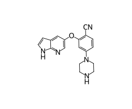 N#Cc1ccc(N2CCNCC2)cc1Oc1cnc2[nH]ccc2c1